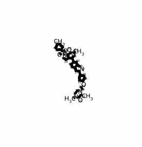 Cc1ccc(S(=O)(=O)n2ccc3c(-c4ccc5cc(-c6ccc(OCCN7CCN(C)C(=O)[C@H]7C)cc6)ncc5c4)cn(C)c(=O)c32)cc1